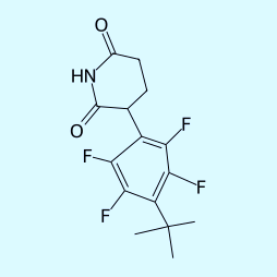 CC(C)(C)c1c(F)c(F)c(C2CCC(=O)NC2=O)c(F)c1F